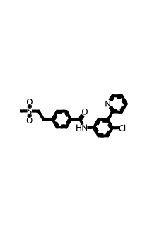 CS(=O)(=O)CCc1ccc(C(=O)Nc2ccc(Cl)c(-c3ccccn3)c2)cc1